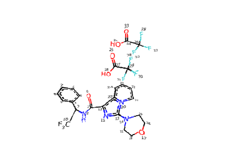 O=C(NC(c1ccccc1)C(F)(F)F)c1nc(N2CCOCC2)n2ccccc12.O=C(O)C(F)(F)F.O=C(O)C(F)(F)F